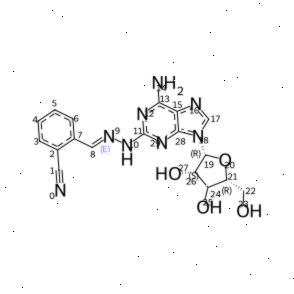 N#Cc1ccccc1/C=N/Nc1nc(N)c2ncn([C@@H]3O[C@H](CO)C(O)[C@@H]3O)c2n1